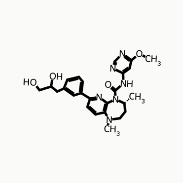 COc1cc(NC(=O)N2c3nc(-c4cccc(CC(O)CO)c4)ccc3N(C)CC[C@H]2C)ncn1